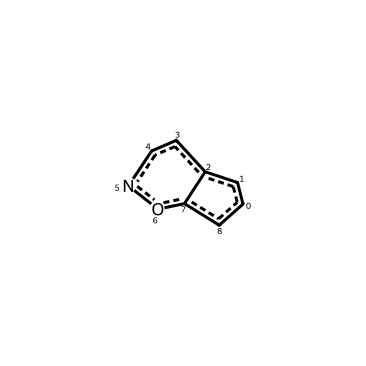 c1cc2ccnoc-2c1